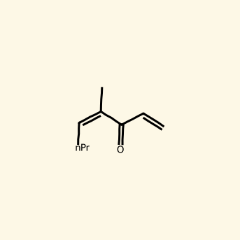 C=CC(=O)C(C)=CCCC